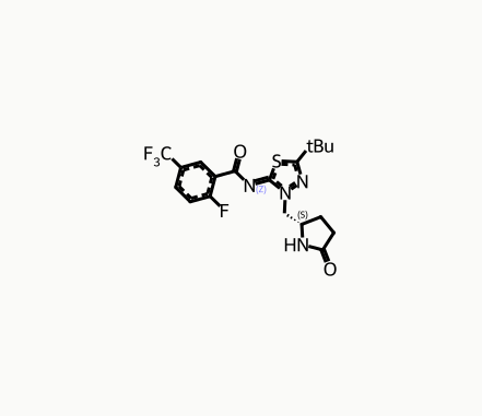 CC(C)(C)c1nn(C[C@@H]2CCC(=O)N2)/c(=N/C(=O)c2cc(C(F)(F)F)ccc2F)s1